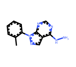 Cc1ccccc1-n1ncc2c(NN)ncnc21